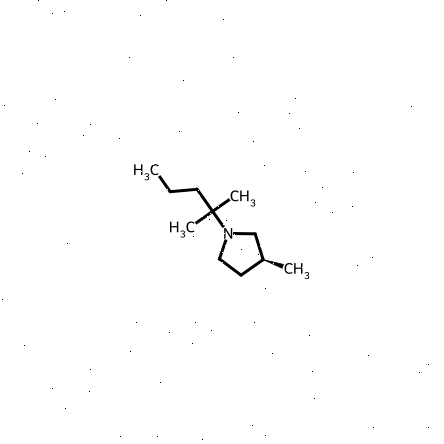 CCCC(C)(C)N1CC[C@H](C)C1